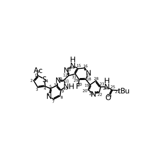 CC(=O)c1ccc(-c2nccc3[nH]c(-c4n[nH]c5cnc(-c6cncc(NC(=O)C(C)(C)C)c6)c(F)c45)nc23)s1